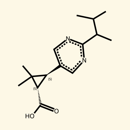 CC(C)C(C)c1ncc([C@H]2[C@H](C(=O)O)C2(C)C)cn1